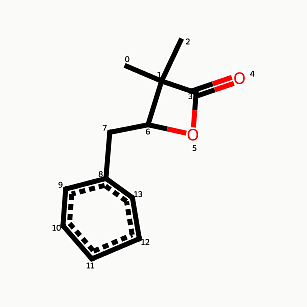 CC1(C)C(=O)OC1Cc1ccccc1